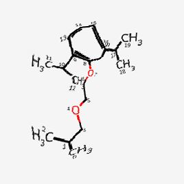 CC(C)COCCOc1c(C(C)C)cccc1C(C)C